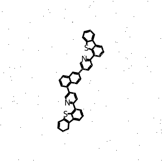 C1=Cc2sc3c(-c4ccc(-c5cccc6cc(-c7ccc(-c8cccc9c8sc8ccccc89)nc7)ccc56)cn4)cccc3c2CC1